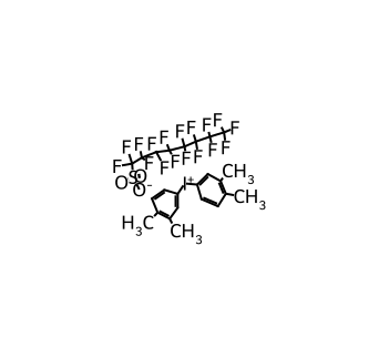 Cc1ccc([I+]c2ccc(C)c(C)c2)cc1C.O=S(=O)([O-])C(F)(F)C(F)(F)C(F)(F)C(F)(F)C(F)(F)C(F)(F)C(F)(F)C(F)(F)F